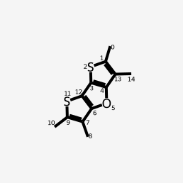 Cc1sc2c(oc3c(C)c(C)sc32)c1C